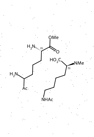 CN[C@@H](CCCCNC(C)=O)C(=O)O.COC(=O)[C@@H](N)CCCC(N)C(C)=O